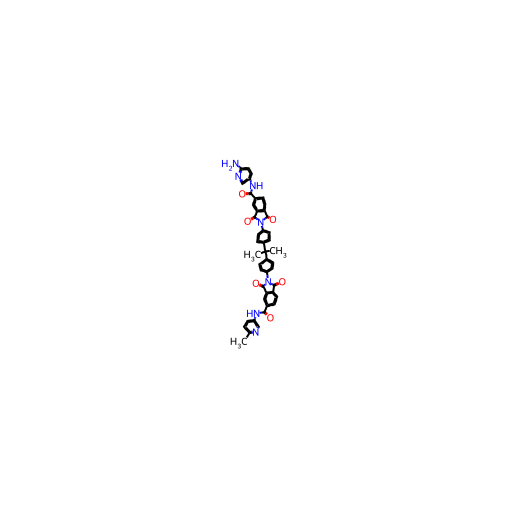 Cc1ccc(NC(=O)c2ccc3c(c2)C(=O)N(c2ccc(C(C)(C)c4ccc(N5C(=O)c6ccc(C(=O)Nc7ccc(N)nc7)cc6C5=O)cc4)cc2)C3=O)cn1